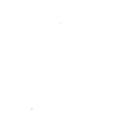 CC(C)CCOc1ccc(C(=O)CS(=O)(=O)O)cc1